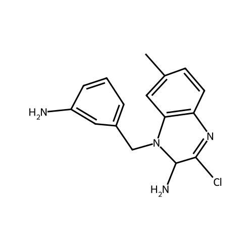 Cc1ccc2c(c1)N(Cc1cccc(N)c1)C(N)C(Cl)=N2